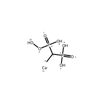 CC(P(=O)(O)O)P(=O)(O)OO.[Ca]